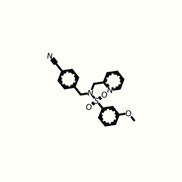 COc1cccc(S(=O)(=O)N(Cc2ccc(C#N)cc2)Cc2ccccn2)c1